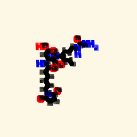 CCC(=O)[C@H](CCCNC(N)=O)NC(=O)[C@H](CC(=O)O)NC(=O)CCCCCN1C(=O)C=CC1=O